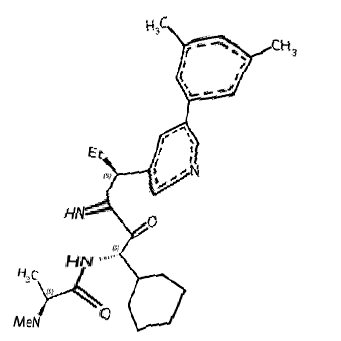 CC[C@H](C(=N)C(=O)[C@@H](NC(=O)[C@H](C)NC)C1CCCCC1)c1cncc(-c2cc(C)cc(C)c2)c1